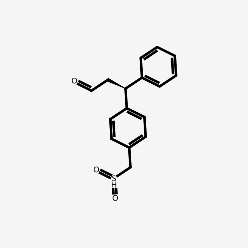 O=CC[C@@H](c1ccccc1)c1ccc(C[SH](=O)=O)cc1